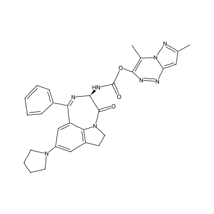 Cc1cc2nnc(OC(=O)N[C@@H]3N=C(c4ccccc4)c4cc(N5CCCC5)cc5c4N(CC5)C3=O)c(C)n2n1